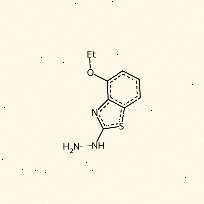 CCOc1cccc2sc(NN)nc12